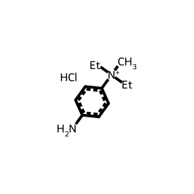 CC[N+](C)(CC)c1ccc(N)cc1.Cl